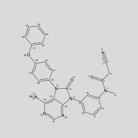 CN(C(=O)CC#N)c1cccc(-n2c(=O)n(-c3ccc(Oc4ccccc4)cc3)c3c(N)ncnc32)c1